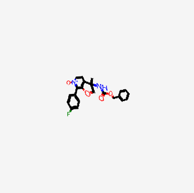 CC1(NC(=O)OCc2ccccc2)COc2c1cc[n+]([O-])c2-c1ccc(F)cc1